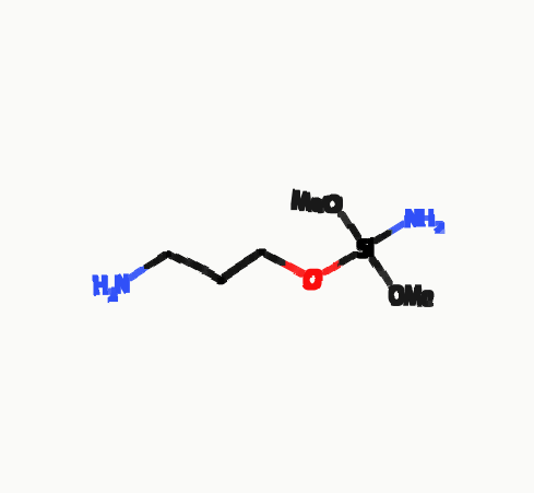 CO[Si](N)(OC)OCCCN